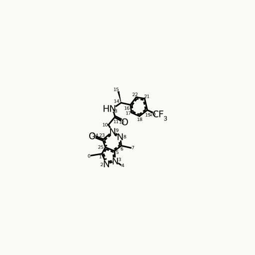 Cc1nn(C)c2c(C)nn(CC(=O)N[C@@H](C)c3ccc(C(F)(F)F)cc3)c(=O)c12